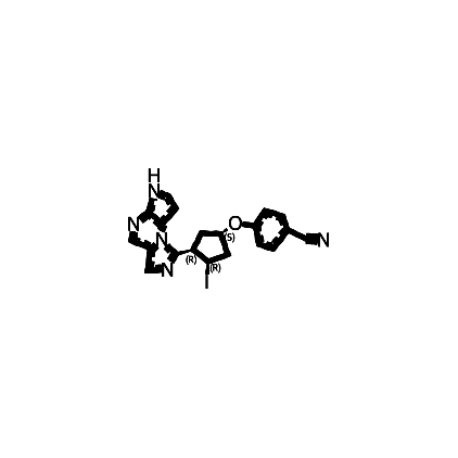 N#Cc1ccc(O[C@@H]2C[C@@H](I)[C@@H](c3ncc4cnc5[nH]ccc5n34)C2)cc1